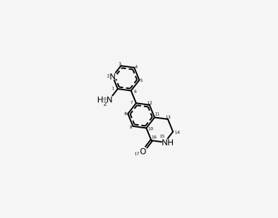 Nc1ncccc1-c1ccc2c(c1)CCNC2=O